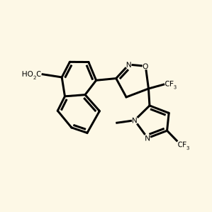 Cn1nc(C(F)(F)F)cc1C1(C(F)(F)F)CC(c2ccc(C(=O)O)c3ccccc23)=NO1